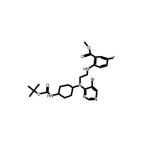 COC(=O)c1cc(F)ccc1NCCN(c1ncncc1Br)C1CCC(NC(=O)OC(C)(C)C)CC1